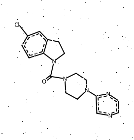 O=C(N1CCN(c2cnccn2)CC1)N1CCc2cc(Cl)ccc21